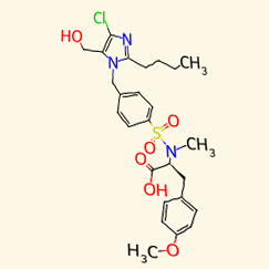 CCCCc1nc(Cl)c(CO)n1Cc1ccc(S(=O)(=O)N(C)[C@@H](Cc2ccc(OC)cc2)C(=O)O)cc1